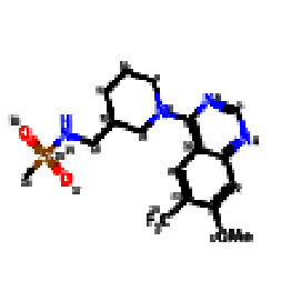 COc1cc2ncnc(N3CCCC(CNS(C)(=O)=O)C3)c2cc1C(F)(F)F